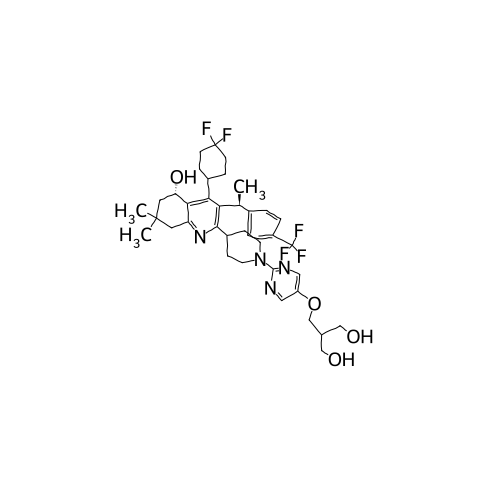 C[C@@H](c1ccc(C(F)(F)F)cc1)c1c(C2CCN(c3ncc(OCC(CO)CO)cn3)CC2)nc2c(c1C1CCC(F)(F)CC1)[C@@H](O)CC(C)(C)C2